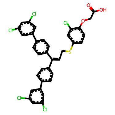 O=C(O)COc1ccc(SCC=C(c2ccc(-c3cc(Cl)cc(Cl)c3)cc2)c2ccc(-c3cc(Cl)cc(Cl)c3)cc2)cc1Cl